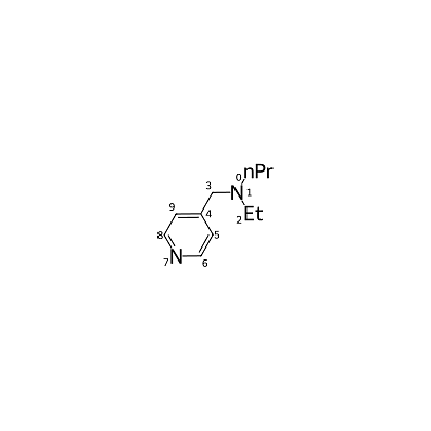 CCCN(CC)Cc1ccncc1